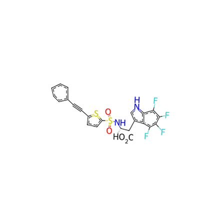 O=C(O)[C@@H](Cc1c[nH]c2c(F)c(F)c(F)c(F)c12)NS(=O)(=O)c1ccc(C#Cc2ccccc2)s1